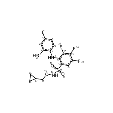 Cc1cc(I)ccc1Nc1c(S(=O)(=O)NOCC2CC2)cc(F)c(F)c1F